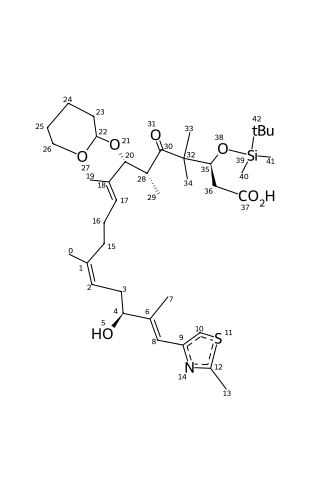 C/C(=C/C[C@H](O)/C(C)=C/c1csc(C)n1)CC/C=C(\C)[C@H](OC1CCCCO1)[C@@H](C)C(=O)C(C)(C)[C@H](CC(=O)O)O[Si](C)(C)C(C)(C)C